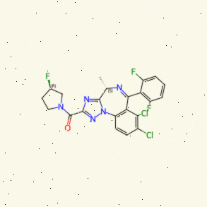 C[C@@H]1N=C(c2c(F)cccc2F)c2c(ccc(Cl)c2Cl)-n2nc(C(=O)N3CC[C@@H](F)C3)nc21